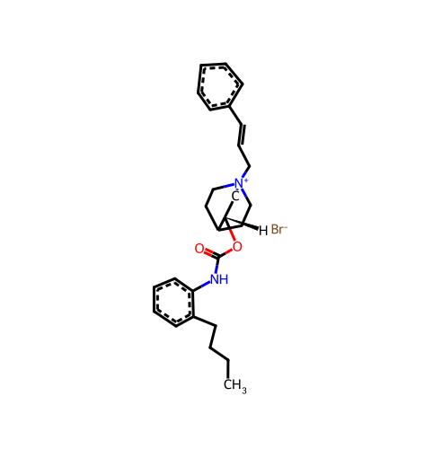 CCCCc1ccccc1NC(=O)O[C@H]1C[N+]2(CC=Cc3ccccc3)CCC1CC2.[Br-]